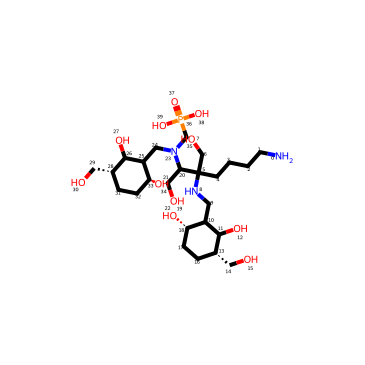 NCCCCC(CO)(NCC1C(O)[C@H](CO)CC[C@@H]1O)C(CO)N(CC1C(O)[C@@H](CO)CC[C@H]1O)CP(=O)(O)O